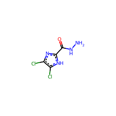 NNC(=O)c1nc(Cl)c(Cl)[nH]1